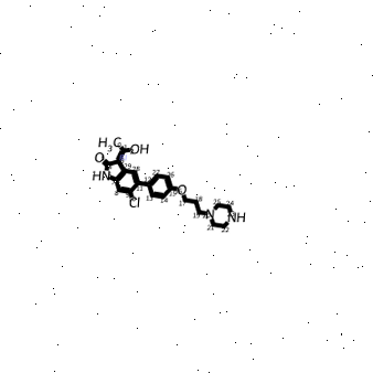 C/C(O)=C1\C(=O)Nc2cc(Cl)c(-c3ccc(OCCCN4CCNCC4)cc3)cc21